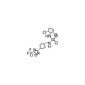 O=c1c(NCc2ccc(-c3noc(C(F)(F)Cl)n3)cc2)c(Nc2c(Cl)cccc2Cl)c1=O